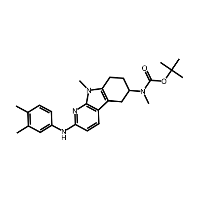 Cc1ccc(Nc2ccc3c4c(n(C)c3n2)CCC(N(C)C(=O)OC(C)(C)C)C4)cc1C